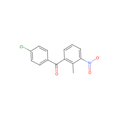 Cc1c(C(=O)c2ccc(Cl)cc2)cccc1[N+](=O)[O-]